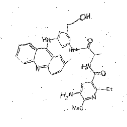 CCc1nc(OC)c(N)cc1C(=O)NC(C)C(=O)Nc1cc(CO)cc(Nc2c3ccccc3nc3ccc(C)cc23)c1